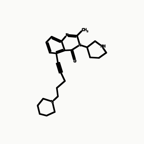 Cc1nc2cccc(C#CCCCN3CCCCC3)c2c(=O)n1C1CCCNC1